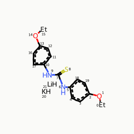 CCOc1ccc(NC(=S)Nc2ccc(OCC)cc2)cc1.[KH].[LiH]